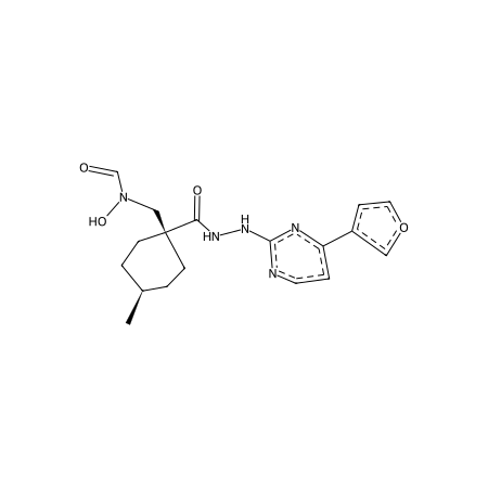 C[C@H]1CC[C@](CN(O)C=O)(C(=O)NNc2nccc(-c3ccoc3)n2)CC1